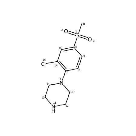 CS(=O)(=O)c1ccc(N2CCNCC2)c(Cl)c1